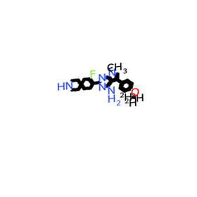 [2H]C([2H])([2H])Oc1ccc(-c2cn(C)c3nc(C4=C(F)CC5(CCNCC5)CC4)nc(N)c23)cc1